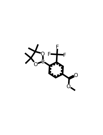 COC(=O)c1ccc(B2OC(C)(C)C(C)(C)O2)c(C(F)(F)F)c1